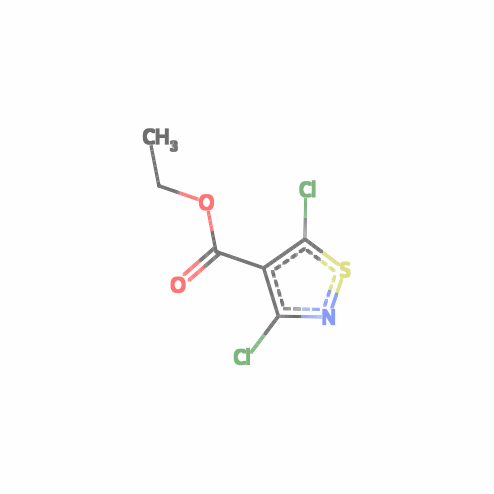 CCOC(=O)c1c(Cl)nsc1Cl